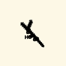 CCCCCCCCCCOC(=O)CCCN(CCO)CCCCCC(=O)OCC(CCCCCCCC)CCCCCCCC